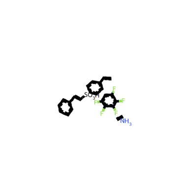 C=C.C=Cc1ccccc1.Fc1cc(F)c(F)c(F)c1F.N.O=S(=O)(O)C=Cc1ccccc1